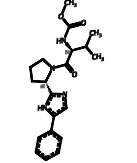 COC(=O)N[C@H](C(=O)N1CCC[C@H]1c1ncc(-c2ccccc2)[nH]1)C(C)C